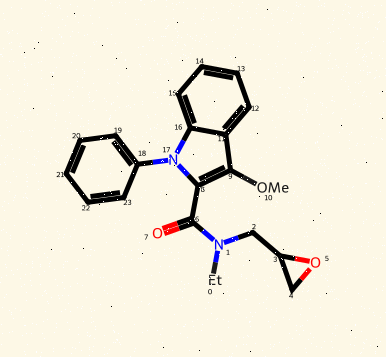 CCN(CC1CO1)C(=O)c1c(OC)c2ccccc2n1-c1ccccc1